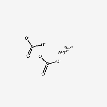 O=[Si]([O-])[O-].O=[Si]([O-])[O-].[Ba+2].[Mg+2]